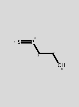 OCCP=S